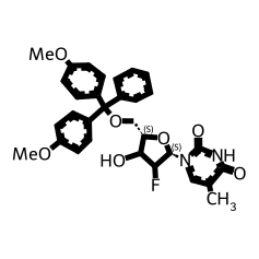 COc1ccc(C(OC[C@@H]2O[C@H](n3cc(C)c(=O)[nH]c3=O)C(F)C2O)(c2ccccc2)c2ccc(OC)cc2)cc1